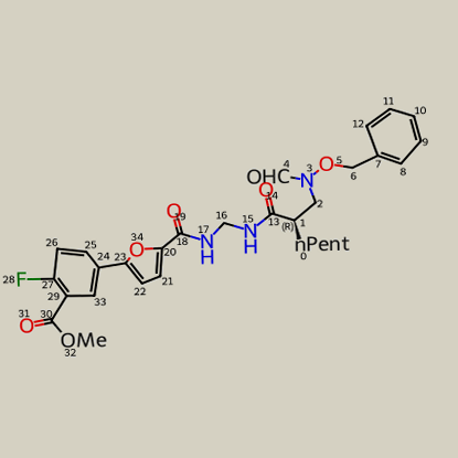 CCCCC[C@H](CN(C=O)OCc1ccccc1)C(=O)NCNC(=O)c1ccc(-c2ccc(F)c(C(=O)OC)c2)o1